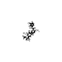 CC1Cc2nn3c(c2CN1C(=O)Nc1ccc(F)c(Cl)c1F)C(=O)N(C)OC(C(=O)N(C)CC(F)F)C3